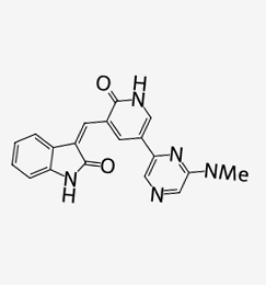 CNc1cncc(-c2c[nH]c(=O)c(/C=C3\C(=O)Nc4ccccc43)c2)n1